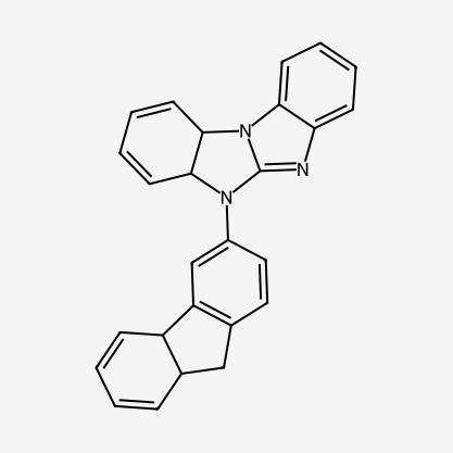 C1=CC2Cc3ccc(N4c5nc6ccccc6n5C5C=CC=CC54)cc3C2C=C1